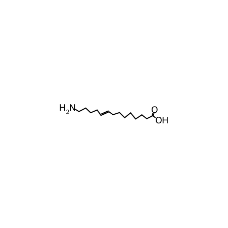 NCCCCC=CCCCCCCCC(=O)O